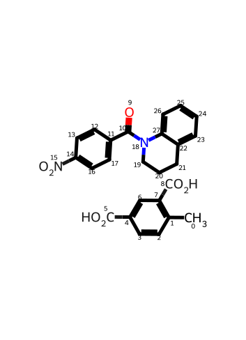 Cc1ccc(C(=O)O)cc1C(=O)O.O=C(c1ccc([N+](=O)[O-])cc1)N1CCCc2ccccc21